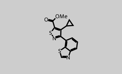 COC(=O)c1snc(-c2cccc3ncsc23)c1C1CC1